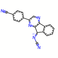 N#C/N=C1\c2ccccc2-c2ncc(-c3ccc(C#N)cc3)nc21